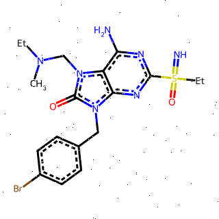 CCN(C)Cn1c(=O)n(Cc2ccc(Br)cc2)c2nc(S(=N)(=O)CC)nc(N)c21